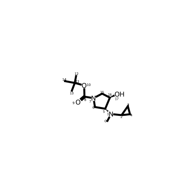 CN(C1CC1)[C@@H]1CN(C(=O)OC(C)(C)C)C[C@H]1O